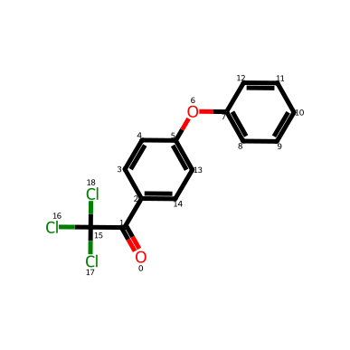 O=C(c1ccc(Oc2ccccc2)cc1)C(Cl)(Cl)Cl